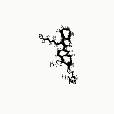 Cc1c(OCc2nnn[nH]2)ccc2cc(-c3oc4ccccc4c3CCCCC=O)ccc12